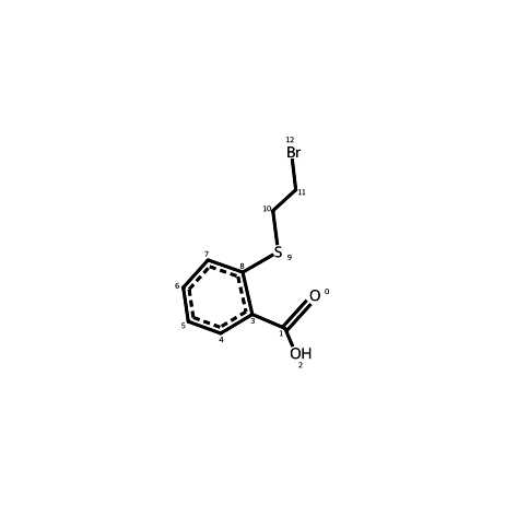 O=C(O)c1ccccc1SCCBr